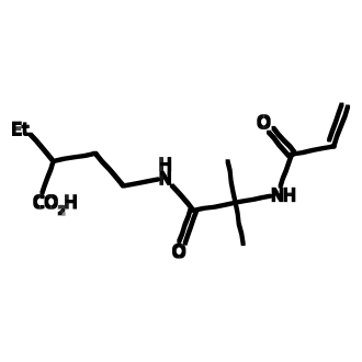 C=CC(=O)NC(C)(C)C(=O)NCCC(CC)C(=O)O